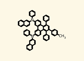 Cc1ccc(-c2cc(-c3ccccc3)c3c4ccc(N(c5ccccc5)c5ccc6ccccc6c5)cc4c4cc(N(c5ccccc5)c5ccc6ccccc6c5)ccc4c3c2-c2ccccc2)cc1